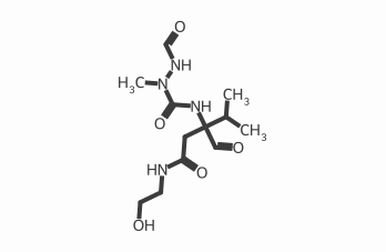 CC(C)C(C=O)(CC(=O)NCCO)NC(=O)N(C)NC=O